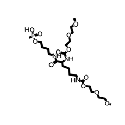 COCCOCCOC(=O)NCCCCC(NC(=O)OCCOCCOC)C(=O)NCCCCOP(C)(=O)O